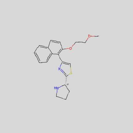 COCCOc1ccc2ccccc2c1-c1csc([C@@H]2CCCN2)n1